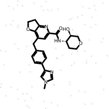 Cn1cnc(-c2ccc(Cc3cc(C(=O)N[C@H]4CCOC[C@@H]4O)nc4c3OCC4)cc2)c1